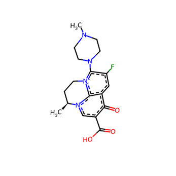 C[C@H]1CC[n+]2c(N3CCN(C)CC3)c(F)cc3c(=O)c(C(=O)O)cn1c32